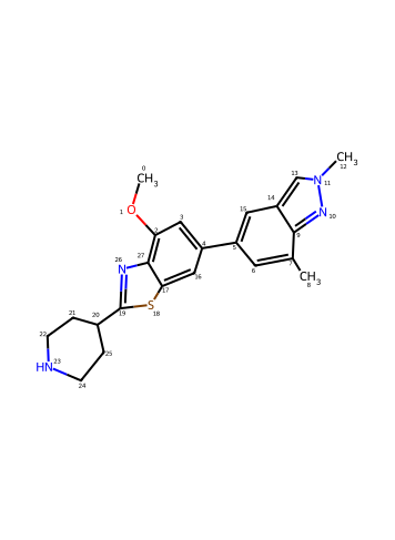 COc1cc(-c2cc(C)c3nn(C)cc3c2)cc2sc(C3CCNCC3)nc12